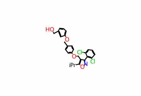 CC(C)c1onc(-c2c(Cl)cccc2Cl)c1COc1ccc(COc2cccc(CO)c2)cc1